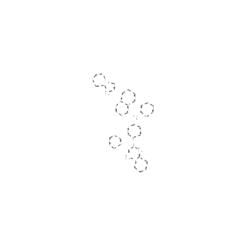 c1ccc(-c2nc3ccccc3nc2-c2ccc(N(c3ccccc3)c3cccc4c(-c5cn6ccccc6n5)cccc34)cc2)cc1